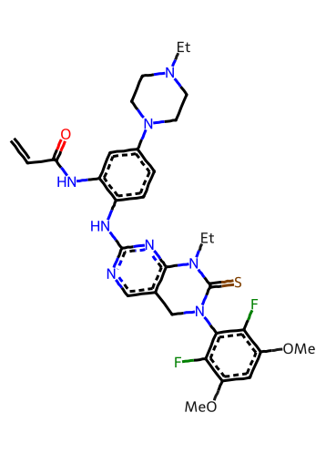 C=CC(=O)Nc1cc(N2CCN(CC)CC2)ccc1Nc1ncc2c(n1)N(CC)C(=S)N(c1c(F)c(OC)cc(OC)c1F)C2